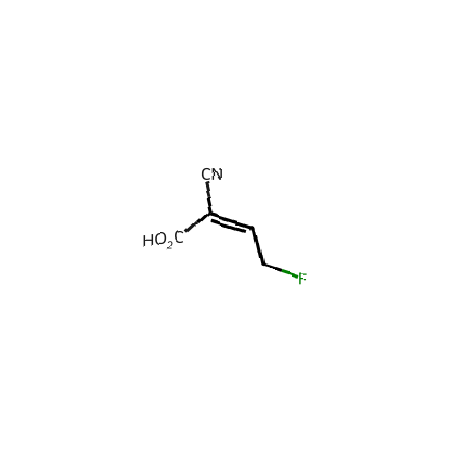 N#CC(=CCF)C(=O)O